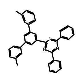 Cc1cccc(-c2cc(-c3cccc(C)c3)cc(-c3nc(-c4ccccc4)nc(-c4ccccc4)n3)c2)c1